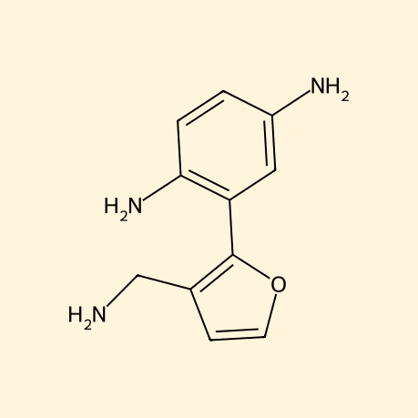 NCc1ccoc1-c1cc(N)ccc1N